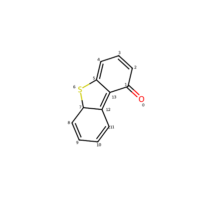 O=C1C=CC=C2SC3C=CC=[C]C3=C12